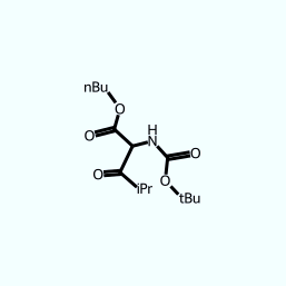 CCCCOC(=O)C(NC(=O)OC(C)(C)C)C(=O)C(C)C